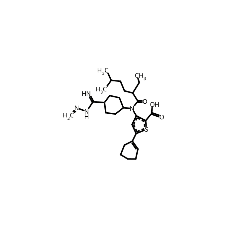 C=NNC(=N)C1CCC(N(C(=O)C(CC)CCC(C)C)c2cc(C3=CCCCC3)sc2C(=O)O)CC1